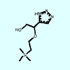 C[Si](C)(C)CCOC(CO)c1cnn[nH]1